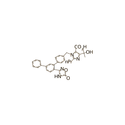 CCCc1nc(C(C)(C)O)c(C(=O)O)n1Cc1ccc(-c2cc(-c3ccccc3)ccc2-c2noc(=O)[nH]2)cc1